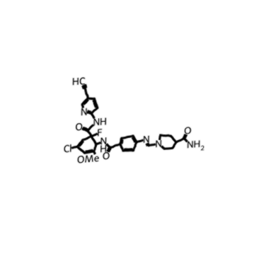 C#Cc1ccc(NC(=O)C2(F)C=C(Cl)C=C(OC)C2NC(=O)c2ccc(N=CN3CCC(C(N)=O)CC3)cc2)nc1